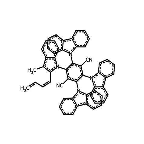 C=C/C=C\c1c(C)c2ccccc2n1-c1c(C#N)c(-n2c3ccccc3c3ccccc32)c(-n2c3ccccc3c3ccccc32)c(C#N)c1-n1c2ccccc2c2ccccc21